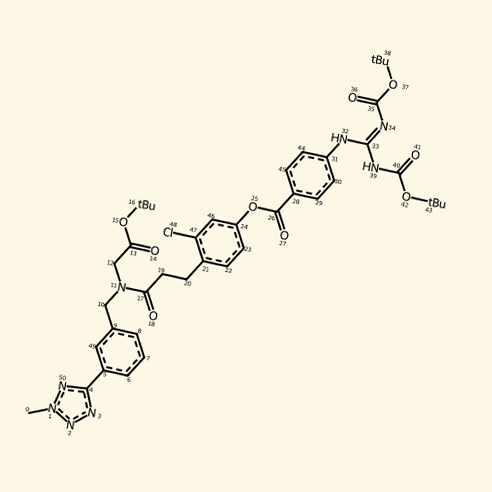 Cn1nnc(-c2cccc(CN(CC(=O)OC(C)(C)C)C(=O)CCc3ccc(OC(=O)c4ccc(N/C(=N\C(=O)OC(C)(C)C)NC(=O)OC(C)(C)C)cc4)cc3Cl)c2)n1